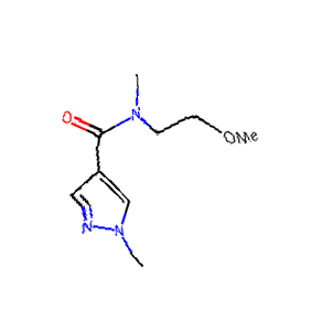 COCCN(C)C(=O)c1cnn(C)c1